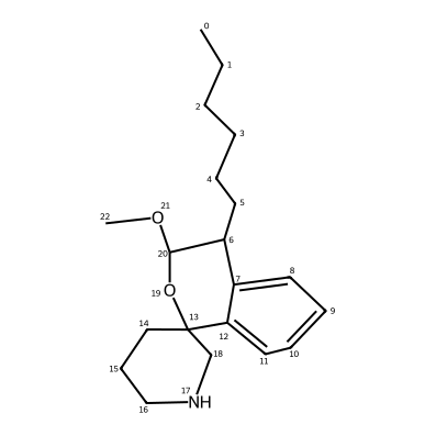 CCCCCCC1c2ccccc2C2(CCCNC2)OC1OC